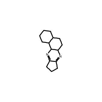 C1CC2=NC3CCC4CCCCC4C3N=C2C1